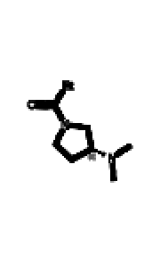 CCC(=O)N1CC[C@@H](N(C)C)C1